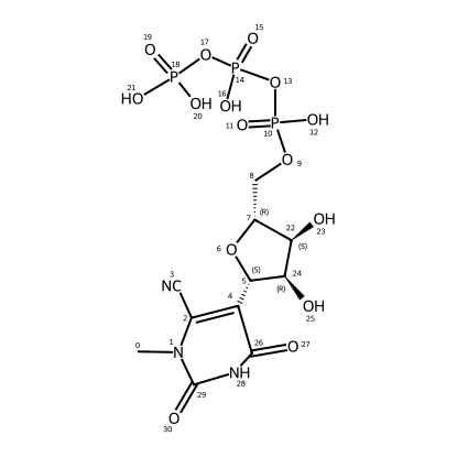 Cn1c(C#N)c([C@@H]2O[C@H](COP(=O)(O)OP(=O)(O)OP(=O)(O)O)[C@@H](O)[C@H]2O)c(=O)[nH]c1=O